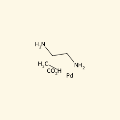 CC(=O)O.NCCN.[Pd]